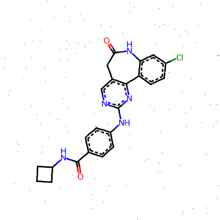 O=C1Cc2cnc(Nc3ccc(C(=O)NC4CCC4)cc3)nc2-c2ccc(Cl)cc2N1